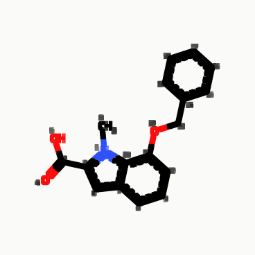 Cn1c(C(=O)O)cc2cccc(OCc3ccccc3)c21